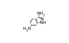 Nc1ccc2c(N)n[nH]c2c1